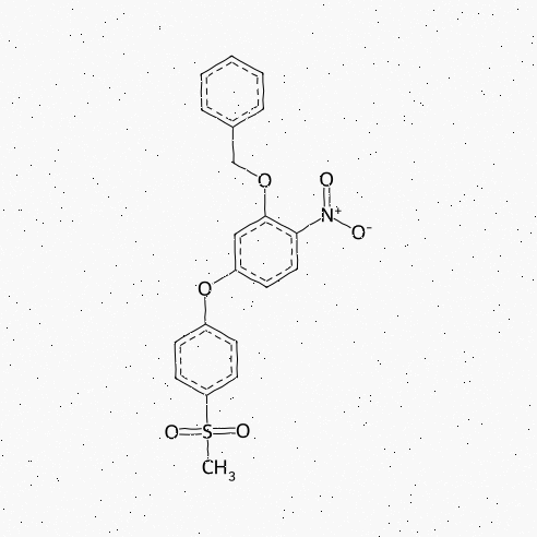 CS(=O)(=O)c1ccc(Oc2ccc([N+](=O)[O-])c(OCc3ccccc3)c2)cc1